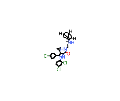 O=C(NCCNC1[C@H]2C[C@@H]3C[C@@H](C[C@H]1C3)C2)c1nn(-c2ccc(Cl)cc2Cl)c(-c2ccc(Cl)cc2)c1C1CC1